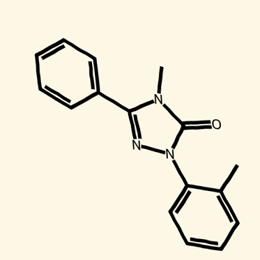 Cc1ccccc1-n1nc(-c2ccccc2)n(C)c1=O